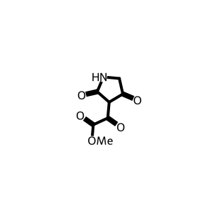 COC(=O)C(=O)C1C(=O)CNC1=O